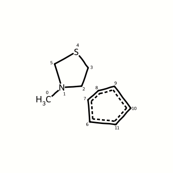 CN1CCSC1.c1ccccc1